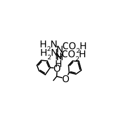 CC(Oc1ccccc1)Oc1ccccc1.NNC(=O)O.NNC(=O)O